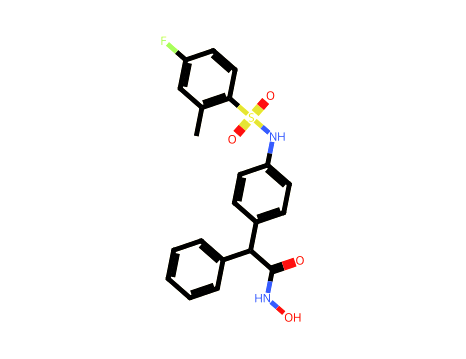 Cc1cc(F)ccc1S(=O)(=O)Nc1ccc(C(C(=O)NO)c2ccccc2)cc1